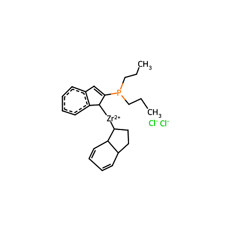 CCCP(CCC)C1=Cc2ccccc2[CH]1[Zr+2][CH]1CCC2C=CC=CC21.[Cl-].[Cl-]